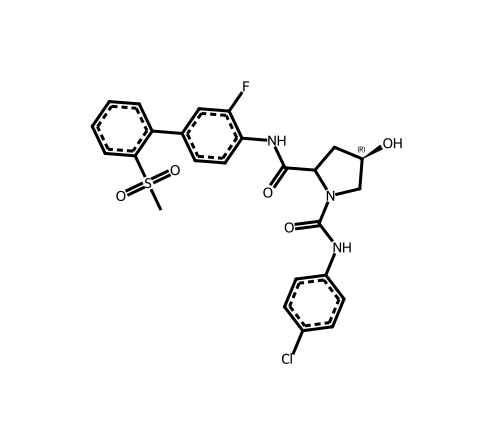 CS(=O)(=O)c1ccccc1-c1ccc(NC(=O)C2C[C@@H](O)CN2C(=O)Nc2ccc(Cl)cc2)c(F)c1